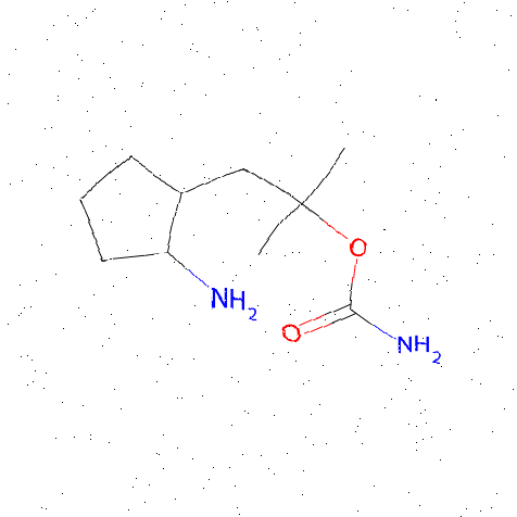 CC(C)(CC1CCCC1N)OC(N)=O